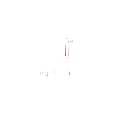 [Ag].[Li].[O]=[Ge].[S]